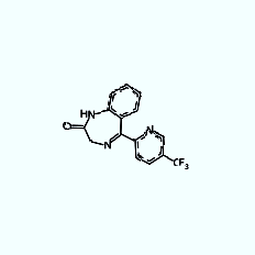 O=C1CN=C(c2ccc(C(F)(F)F)cn2)c2ccccc2N1